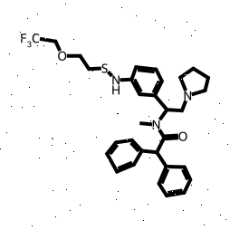 CN(C(=O)C(c1ccccc1)c1ccccc1)C(CN1CCCC1)c1cccc(NSCCOCC(F)(F)F)c1